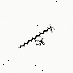 CCCCCCCCCCCCCCCC[N+](C)(C)C.O=S(=O)(O)S